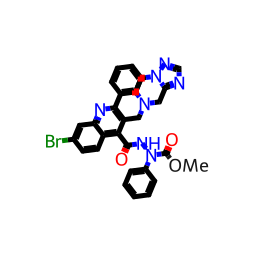 COC(=O)N(NC(=O)c1c(CN2CCn3ncnc3C2)c(-c2ccccc2)nc2cc(Br)ccc12)c1ccccc1